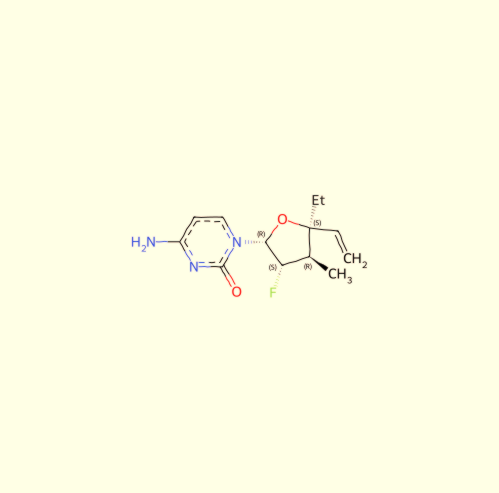 C=C[C@]1(CC)O[C@@H](n2ccc(N)nc2=O)[C@@H](F)[C@@H]1C